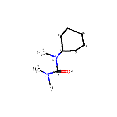 CCN(C)C(=O)N(C)C1CCCCC1